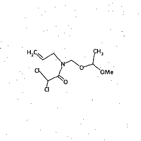 C=CCN(COC(C)OC)C(=O)C(Cl)Cl